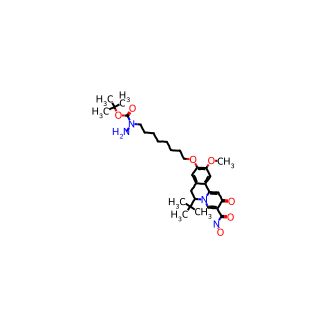 COc1cc2c(cc1OCCCCCCCCN(N)C(=O)OC(C)(C)C)CC(C(C)(C)C)n1cc(C(=O)N=O)c(=O)cc1-2